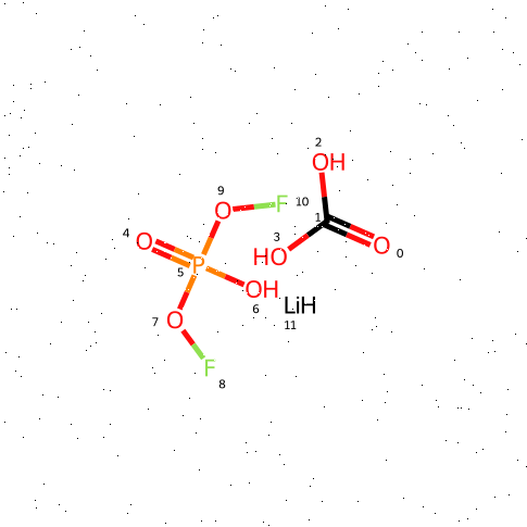 O=C(O)O.O=P(O)(OF)OF.[LiH]